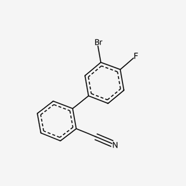 N#Cc1ccccc1-c1ccc(F)c(Br)c1